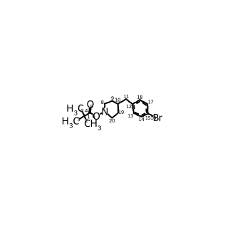 CC(C)(C)C(=O)ON1CCC(Cc2ccc(Br)cc2)CC1